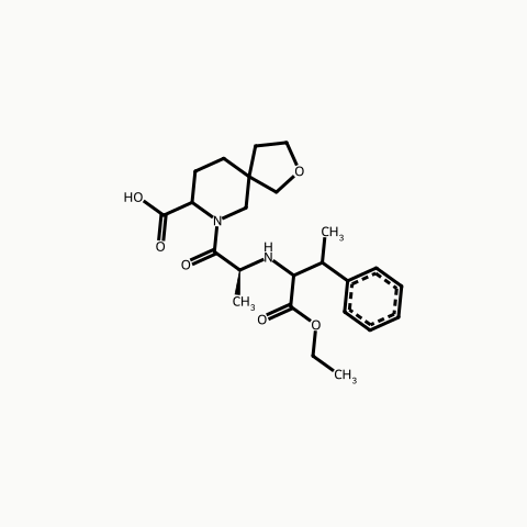 CCOC(=O)C(N[C@@H](C)C(=O)N1CC2(CCOC2)CCC1C(=O)O)C(C)c1ccccc1